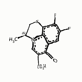 C[C@H]1CSc2c(F)c(F)cc3c(=O)c(C(=O)O)cn1c23